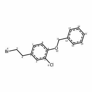 Clc1cc(CCBr)ccc1OCc1ccccc1